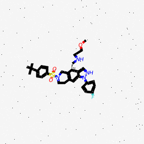 COCCNC[C@@H]1C2=CNN(c3ccc(F)cc3)C2=CC2=C1CN(S(=O)(=O)c1ccc(C(C)(C)C)cc1)CC2